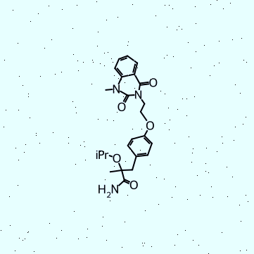 CC(C)OC(C)(Cc1ccc(OCCn2c(=O)c3ccccc3n(C)c2=O)cc1)C(N)=O